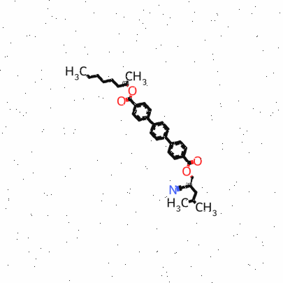 CCCCCC[C@@H](C)OC(=O)c1ccc(-c2ccc(-c3ccc(C(=O)OC[C@H](C#N)CC(C)C)cc3)cc2)cc1